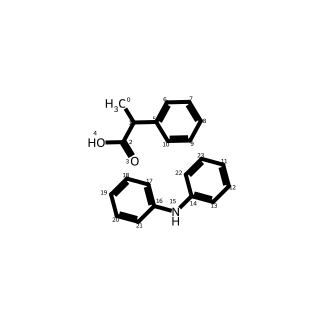 CC(C(=O)O)c1ccccc1.c1ccc(Nc2ccccc2)cc1